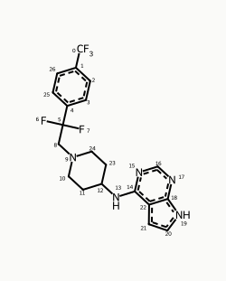 FC(F)(F)c1ccc(C(F)(F)CN2CCC(Nc3ncnc4[nH]ccc34)CC2)cc1